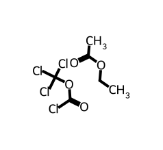 CCOC(C)=O.O=C(Cl)OC(Cl)(Cl)Cl